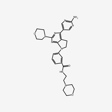 Nc1ncc(-c2nc(N3CCOCC3)nc3c2CCN3c2cccc(C(=O)NCCN3CCOCC3)c2)cn1